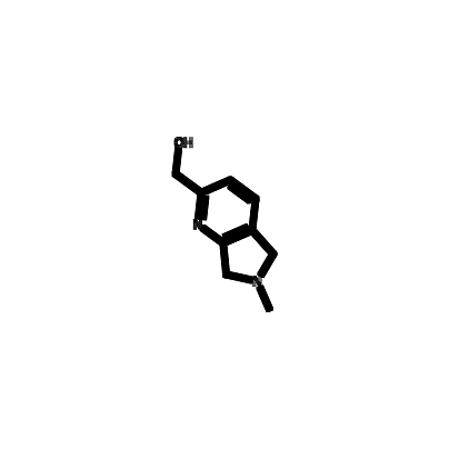 CN1Cc2ccc(CO)nc2C1